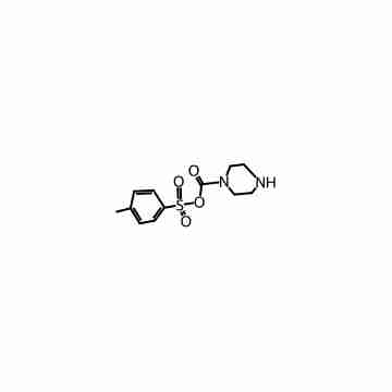 Cc1ccc(S(=O)(=O)OC(=O)N2CCNCC2)cc1